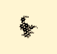 COc1ccc(CN(Cc2ccc(OC)cc2)c2ccc(C(F)(F)F)c(-c3ccc4c(C5CNCC(Cl)N5C(=O)OC(C)(C)C)nc(OC(C)CN(C)C)nc4c3)n2)cc1